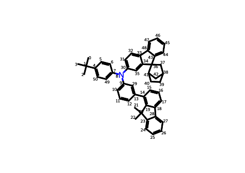 CC(C)(C)c1ccc(N(c2cccc(-c3cccc4c3C(C)(C)c3ccccc3-4)c2)c2ccc3c(c2)C2(CC4CCC2C4)c2ccccc2-3)cc1